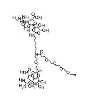 C#CCOCCOCCOCCOCCC(=O)N(CCCCCCNC(=O)O[C@@H]([C@@H]1OC(C(=O)O)=C[C@H](NC(=N)N)[C@H]1NC(C)=O)[C@H](O)CO)CCOCCNC(=O)O[C@@H]([C@@H]1OC(C(=O)O)=C[C@H](NC(=N)N)[C@H]1NC(C)=O)[C@H](O)CO